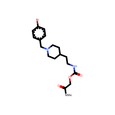 CNC(=O)COC(=O)NCCC1CCN(Cc2ccc(Br)cc2)CC1